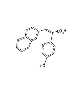 O=C(O)C(=Cc1ccc2ccccc2c1)c1ccc(O)cc1